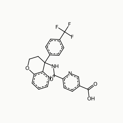 O=C(O)c1ccc(C(=O)NC2(c3ccc(C(F)(F)F)cc3)CCOc3cccnc32)nc1